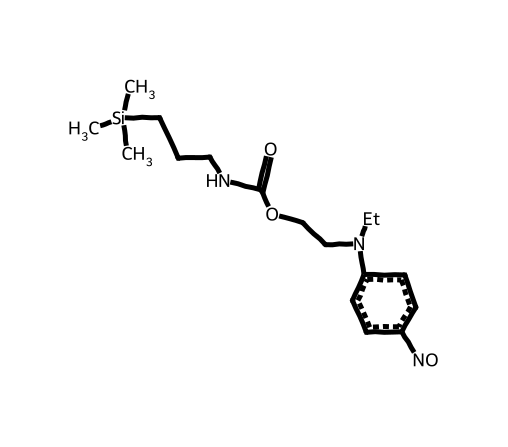 CCN(CCOC(=O)NCCC[Si](C)(C)C)c1ccc(N=O)cc1